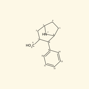 O=C(O)C1CC2CCC(N2)C1c1ccccc1